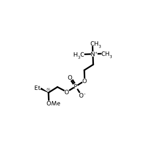 CC[C@@H](COP(=O)([O-])OCC[N+](C)(C)C)OC